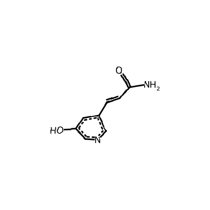 NC(=O)/C=C/c1cncc(O)c1